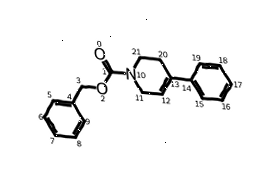 O=C(OCc1ccccc1)N1CC=C(c2ccccc2)CC1